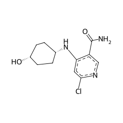 NC(=O)c1cnc(Cl)cc1N[C@H]1CC[C@@H](O)CC1